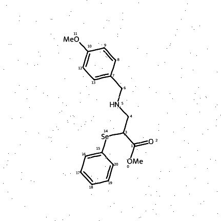 COC(=O)C(CNCc1ccc(OC)cc1)[Se]c1ccccc1